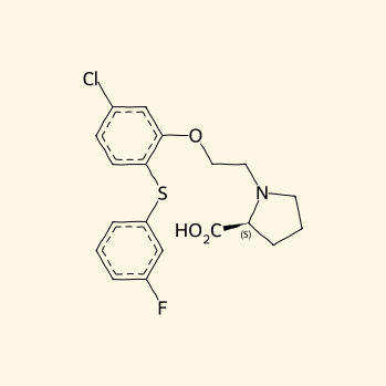 O=C(O)[C@@H]1CCCN1CCOc1cc(Cl)ccc1Sc1cccc(F)c1